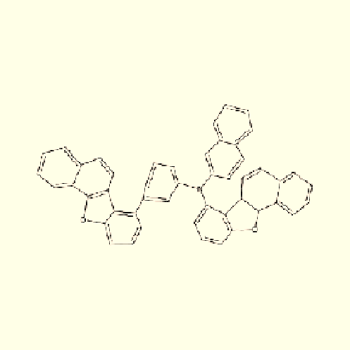 C1=CC2c3c(cccc3N(c3cccc(-c4cccc5oc6c7ccccc7ccc6c45)c3)c3ccc4ccccc4c3)OC2c2ccccc21